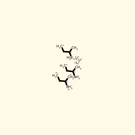 [BH3-]C(C)CC.[BH3-]C(C)CC.[BH3-]C(C)CC.[Li+].[Li+].[Li+]